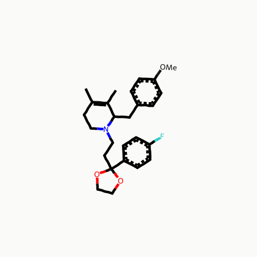 COc1ccc(CC2C(C)=C(C)CCN2CCC2(c3ccc(F)cc3)OCCO2)cc1